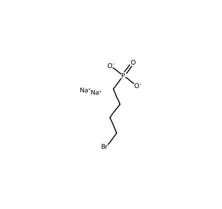 O=P([O-])([O-])CCCCBr.[Na+].[Na+]